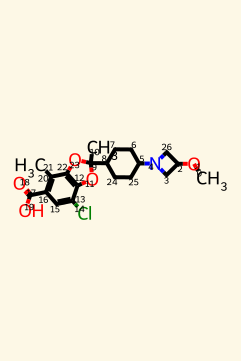 COC1CN(C2CCC(C3(C)Oc4c(Cl)cc(C(=O)O)c(C)c4O3)CC2)C1